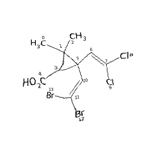 CC1(C)C(C(=O)O)C1(C=C(Cl)Cl)C=C(Br)Br